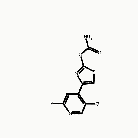 NC(=O)Oc1nc(-c2cc(F)ncc2Cl)cs1